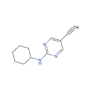 C#Cc1cnc(NC2CCCCC2)nc1